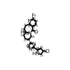 O=C1c2ccc(F)nc2CC[C@H]2CC[C@@H](c3nc(C4=CC(Cl)CN4)no3)CN12